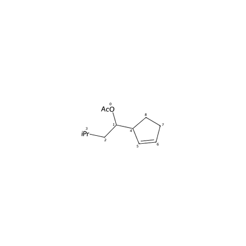 CC(=O)OC(CC(C)C)C1C=CCC1